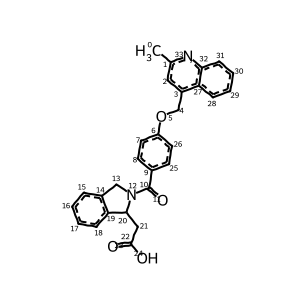 Cc1cc(COc2ccc(C(=O)N3Cc4ccccc4C3CC(=O)O)cc2)c2ccccc2n1